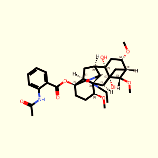 CCN1C[C@]2(OC(=O)c3ccccc3NC(C)=O)CC[C@H](OC)[C@]34C1[C@@H](C[C@H]23)[C@@]1(O)C[C@H](OC)[C@H]2C[C@@H]4[C@]1(O)[C@H]2OC